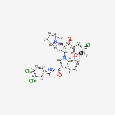 COc1cccc2c(C(=O)NCc3ccc(Cl)c(Cl)c3)cn(CCCN3C4CCC3CN(CC(=O)c3cc(Cl)cc(Cl)c3)C4)c12